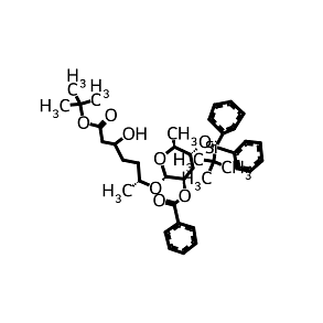 C[C@H](CCC(O)CC(=O)OC(C)(C)C)O[C@@H]1O[C@@H](C)[C@H](O[Si](c2ccccc2)(c2ccccc2)C(C)(C)C)C[C@H]1OC(=O)c1ccccc1